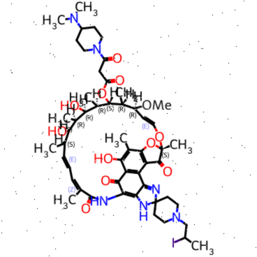 CO[C@H]1/C=C/O[C@@]2(C)Oc3c(C)c(O)c4c(c3C2=O)C2=NC3(CCN(CC(C)I)CC3)NC2=C(NC(=O)/C(C)=C\C=C\[C@H](C)[C@H](O)[C@@H](C)[C@@H](O)[C@@H](C)[C@H](OC(=O)CC(=O)N2CCC(N(C)C)CC2)[C@@H]1C)C4=O